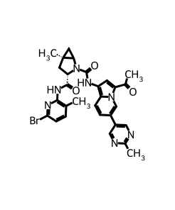 CC(=O)c1cc(NC(=O)N2C3C[C@]3(C)C[C@H]2C(=O)Nc2nc(Br)ccc2C)c2ccc(-c3cnc(C)nc3)cn12